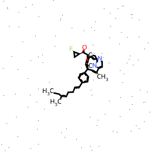 CCC/C(C)=C\CC/C=C/c1ccc(C2=C/C/C=C/N=C\C=C(N3CC/C=C(\C(=O)[C@H]4C[C@H]4F)CCC3)\C(C)=C\2)cc1